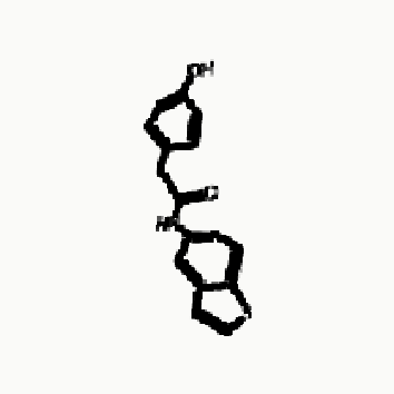 O=C(Cc1ccc(O)cc1)Nc1ccc2sccc2c1